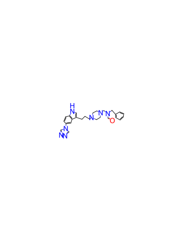 O=CN(Cc1ccccc1)CN1CCN(CCCc2c[nH]c3ccc(-n4cnnc4)cc23)CC1